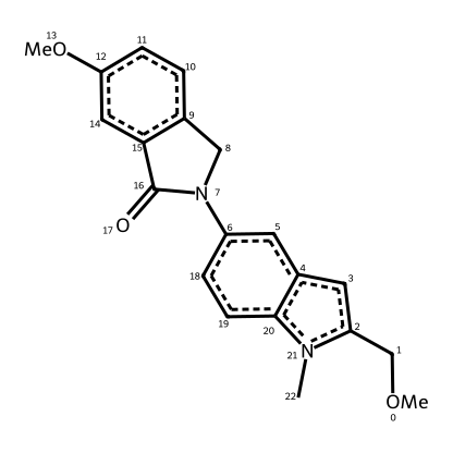 COCc1cc2cc(N3Cc4ccc(OC)cc4C3=O)ccc2n1C